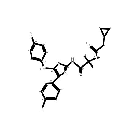 CC(C)(NC(=O)CC1CC1)C(=O)Nc1nc(-c2ccc(F)cc2)c(Oc2ccc(F)cc2)s1